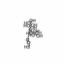 OC[C@@H](O)[C@@H](O)[C@H](O)[C@@H](O)CN(CCCCCCOc1ccc(CS)cc1)C[C@H](O)[C@@H](O)[C@H](O)[C@H](O)CO